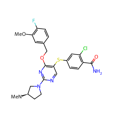 CN[C@@H]1CCN(c2ncc(Sc3ccc(C(N)=O)c(Cl)c3)c(OCc3ccc(F)c(OC)c3)n2)C1